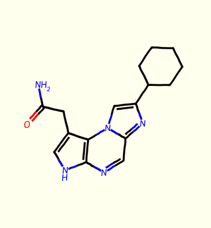 NC(=O)Cc1c[nH]c2ncc3nc(C4CCCCC4)cn3c12